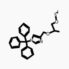 CC(COSI)OCc1cn(C(c2ccccc2)(c2ccccc2)c2ccccc2)cn1